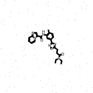 CCN(CC)C(=O)CCc1nc(-c2ccc(C)c(NC(=O)c3cnc4ccccn34)c2)no1